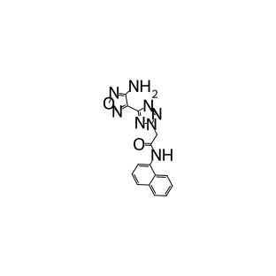 Nc1nonc1-c1nnn(CC(=O)Nc2cccc3ccccc23)n1